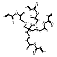 C=CC(=O)OC(C)COCC(COCC(C)OC(=O)C=C)(COCC(C)OC(=O)C=C)COCC(C)OC(=O)C=C